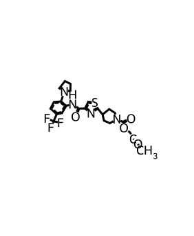 COCCOC(=O)N1CCC(c2nc(C(=O)Nc3cc(C(F)(F)F)ccc3N3CCCC3)cs2)CC1